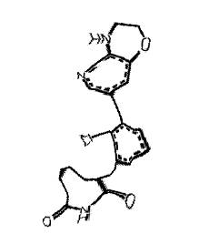 O=C1CCC(c2cccc(-c3cnc4c(c3)OCCN4)c2Cl)C(=O)N1